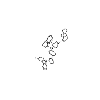 Fc1ccc2c(c1)c1ccccc1n2-c1cccc(-c2ccc(N(c3ccc(-c4cccc5c4oc4ccccc45)cc3)c3cccc4cccnc34)cc2)c1